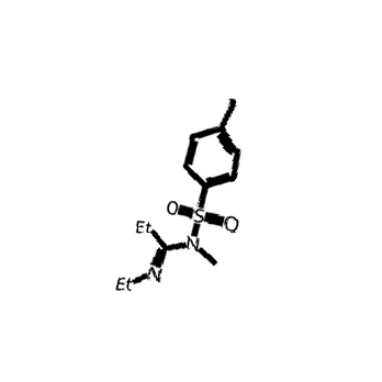 CC/N=C(\CC)N(C)S(=O)(=O)c1ccc(C)cc1